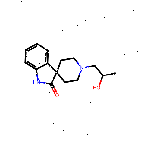 C[C@@H](O)CN1CCC2(CC1)C(=O)Nc1ccccc12